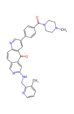 Cc1cccnc1CNc1cc2c(=O)c3cc(-c4ccc(C(=O)N5CCN(C)CC5)cc4)cnc3ccc2cn1